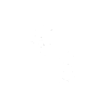 C[C@H]1C[C@@](C(N)=O)(c2cccc(Sc3ccc(C(=O)c4cnn(C)c4)cc3)c2)CCO1